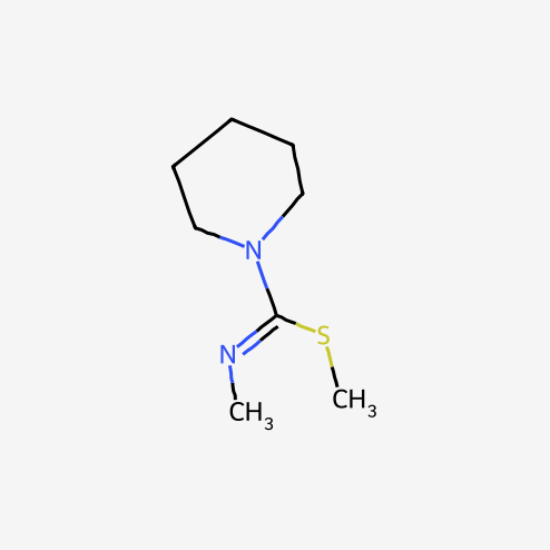 C/N=C(\SC)N1CCCCC1